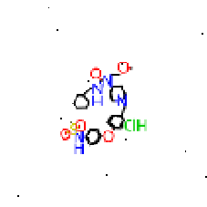 COCCN(C(=O)NCC1CCCCC1)C1CCN(Cc2ccc(Oc3ccc(NS(C)(=O)=O)cc3)cc2)CC1.Cl